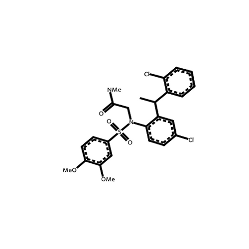 CNC(=O)CN(c1ccc(Cl)cc1C(C)c1ccccc1Cl)S(=O)(=O)c1ccc(OC)c(OC)c1